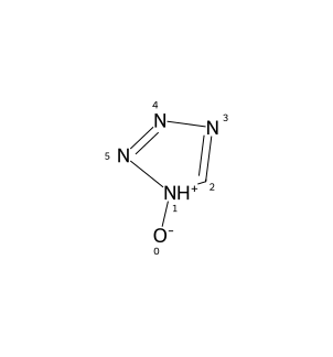 [O-][NH+]1C=NN=N1